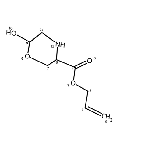 C=CCOC(=O)C1COC(O)CN1